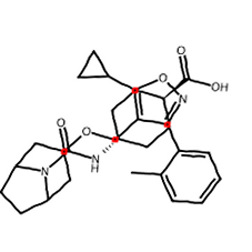 Cc1ccccc1-c1noc(C2CC2)c1COC1CC2CCC(C1)N2C(=O)N[C@H]1CC[C@H](C(=O)O)CC1